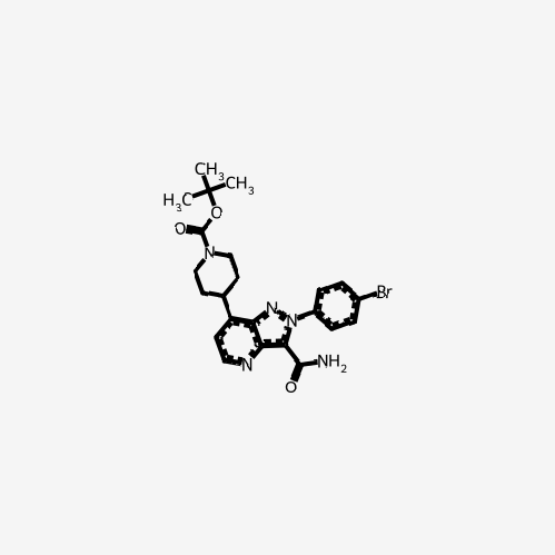 CC(C)(C)OC(=O)N1CCC(c2ccnc3c(C(N)=O)n(-c4ccc(Br)cc4)nc23)CC1